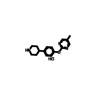 Cc1cnc(Oc2ccc(C3CCNCC3)cc2)nc1.Cl